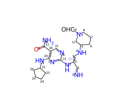 N=C/C(=C\NC1CCCN(C=O)C1)Nc1ncc(C(N)=O)c(NC2CCCC2)n1